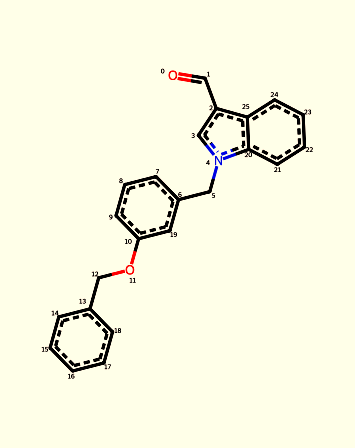 O=Cc1cn(Cc2cccc(OCc3ccccc3)c2)c2ccccc12